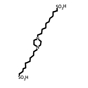 O=S(=O)(O)CCCCCCCCCCN1CCN(CCCCCCCCCCS(=O)(=O)O)CC1